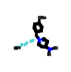 CCN(CC)c1cc[n+](Cc2ccc(OC)cc2)cc1.[F-].[F-].[F-].[F-].[F-].[F-].[Sb+3]